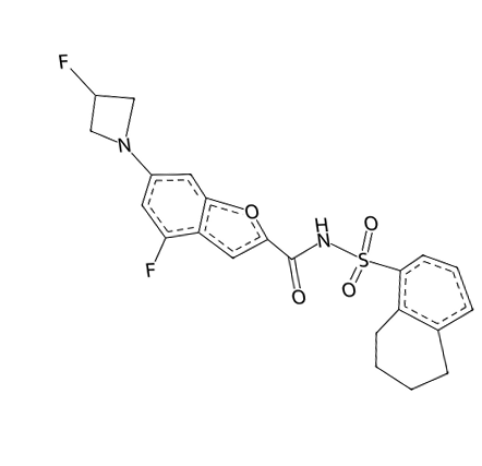 O=C(NS(=O)(=O)c1cccc2c1CCCC2)c1cc2c(F)cc(N3CC(F)C3)cc2o1